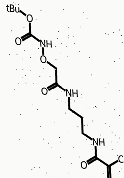 C=C(C)C(=O)NCCCNC(=O)CONC(=O)OC(C)(C)C